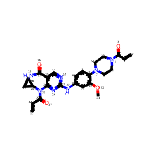 C=CC(=O)N1CCN(c2ccc(Nc3ncc(C(N)=O)c(N(C(=O)C=C)C4CC4)n3)cc2OC)CC1